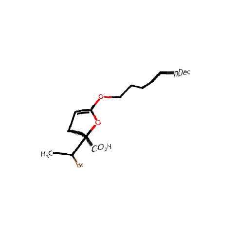 CCCCCCCCCCCCCCOC1=CCC(C(=O)O)(C(C)Br)O1